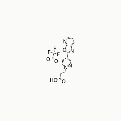 O=C(O)CC[n+]1ccc(-c2nc3cccnc3o2)cn1.O=C([O-])C(F)(F)F